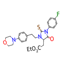 CCOC(=O)CC1C(=O)N(c2ccc(F)cc2)C(=S)N1CCc1ccc(N2CCOCC2)cc1